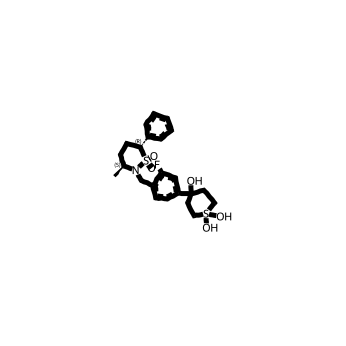 C[C@H]1CC[C@H](c2ccccc2)S(=O)(=O)N1Cc1ccc(C2(O)CCS(O)(O)CC2)cc1F